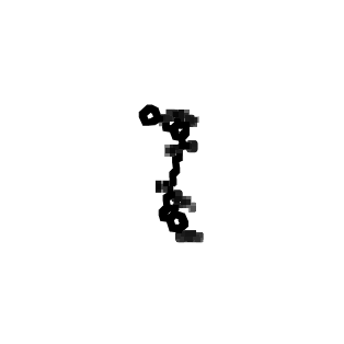 CCN(Cc1cc(C(=O)NCCCCCNC(=O)Cc2ccc3cc(OC)ccc3c2C)cc(Br)c1N)C1CCCCC1